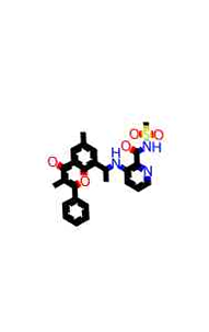 Cc1cc(C(C)Nc2cccnc2C(=O)NS(C)(=O)=O)c2oc(-c3ccccc3)c(C)c(=O)c2c1